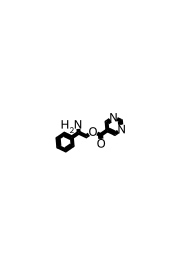 NC(COC(=O)c1cncnc1)c1ccccc1